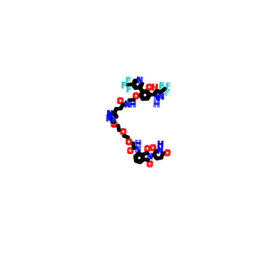 O=C(CCc1cn(OCCOCCOCC(=O)Nc2cccc3c2C(=O)N(C2CCC(=O)NC2=O)C3=O)nn1)NCCOc1ccc(-c2cc(C(F)(F)F)n[nH]2)c(O)c1-c1cncc(C(F)(F)F)c1